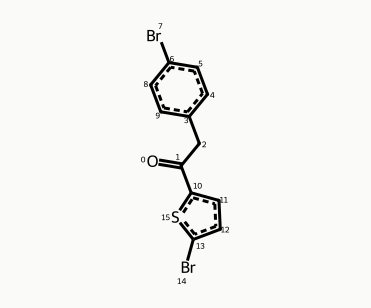 O=C(Cc1ccc(Br)cc1)c1ccc(Br)s1